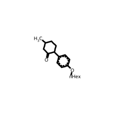 CCCCCCOc1ccc(C2CCC(C)CC2=O)cc1